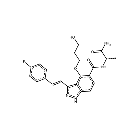 C[C@H](NC(=O)c1ccc2[nH]nc(/C=C/c3ccc(F)cc3)c2c1OCCCO)C(N)=O